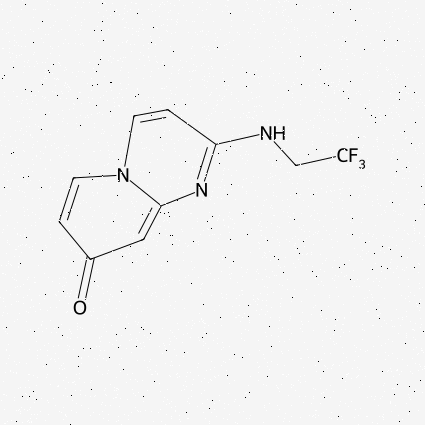 O=c1ccn2ccc(NCC(F)(F)F)nc2c1